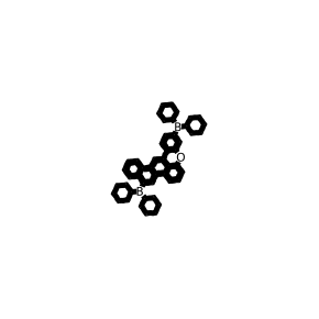 c1ccc2c(c1)c(B(C1CCCCC1)C1CCCCC1)cc1c3cccc4c3c(cc21)-c1ccc(B(C2CCCCC2)C2CCCCC2)cc1O4